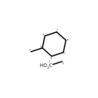 CC(=O)O.CC1CCCCC1